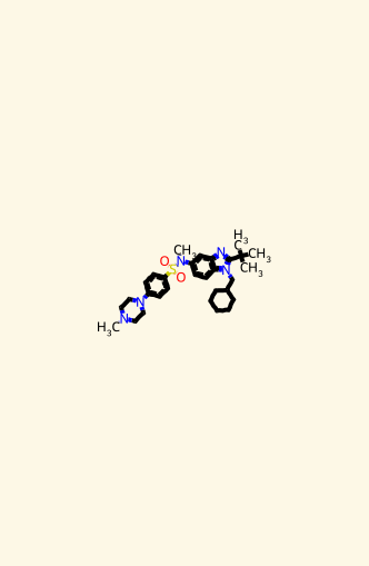 CN1CCN(c2ccc(S(=O)(=O)N(C)c3ccc4c(c3)nc(C(C)(C)C)n4CC3CCCCC3)cc2)CC1